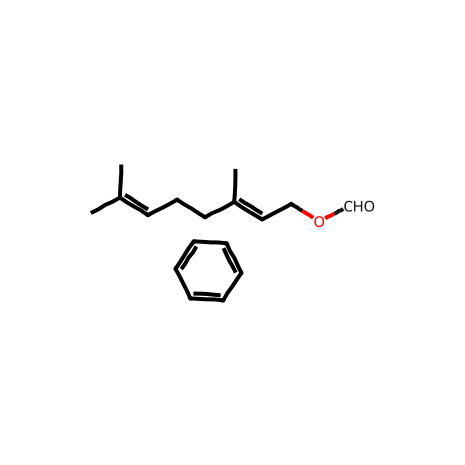 CC(C)=CCC/C(C)=C/COC=O.c1ccccc1